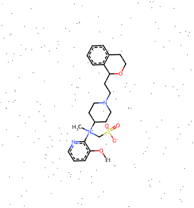 CCOc1cccnc1[N+](C)(CS(=O)(=O)[O-])C1CCN(CCC2OCCc3ccccc32)CC1